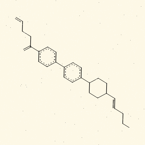 C=CCCC(=O)c1ccc(-c2ccc(C3CCC(/C=C/CCC)CC3)cc2)cc1